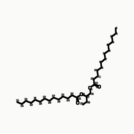 CCCCCCCCCCCCCC(=O)OCC(CC)OC(=O)CCCCCCCCCCCCC